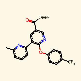 COC(=O)c1cnc(Oc2ccc(C(F)(F)F)cc2)c(-c2cccc(C)n2)c1